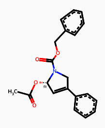 CC(=O)O[C@H]1C=C(c2ccccc2)CN1C(=O)OCc1ccccc1